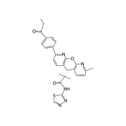 CCC(=O)c1ccc(-c2ccc3c(n2)Oc2nc(C)ccc2[C@@H]3C(C)(C)C(=O)Nc2nncs2)cc1